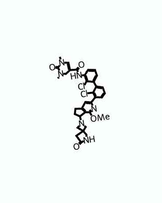 COc1nc(-c2cccc(-c3cccc(NC(=O)C4=CN(C)C(=O)N(C)C4)c3Cl)c2Cl)cc2c1C(N1CC3(CNC(=O)C3)C1)CC2